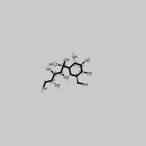 O=C(O)[C@@](O)(C1C[C@H](CO)[C@H](O)[C@H](O)[C@H]1O)[C@@H](O)[C@H](O)[C@H](O)CO